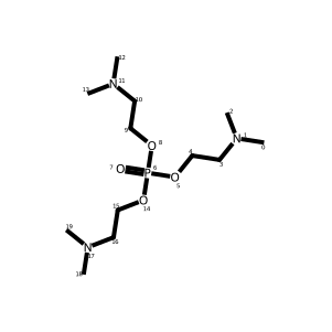 CN(C)CCOP(=O)(OCCN(C)C)OCCN(C)C